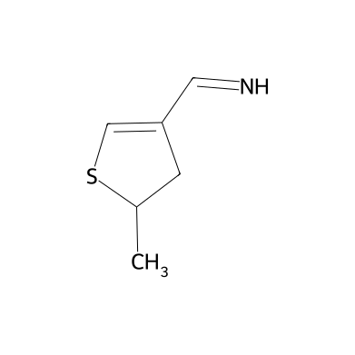 CC1CC(C=N)=CS1